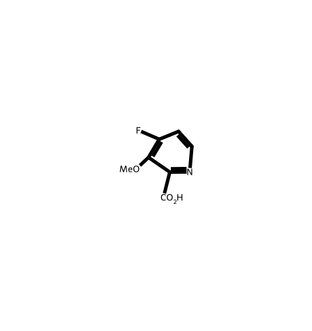 COc1c(F)ccnc1C(=O)O